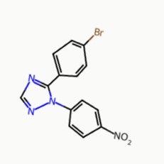 O=[N+]([O-])c1ccc(-n2ncnc2-c2ccc(Br)cc2)cc1